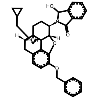 O=C1c2ccccc2C(O)N1[C@@H]1CCC2(O)[C@H]3Cc4ccc(OCc5ccccc5)c5c4[C@@]2(CCN3CC2CC2)[C@H]1O5